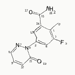 Cc1c(F)cc(-n2ncccc2=O)cc1C(N)=O